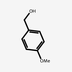 [CH2]Oc1ccc(CO)cc1